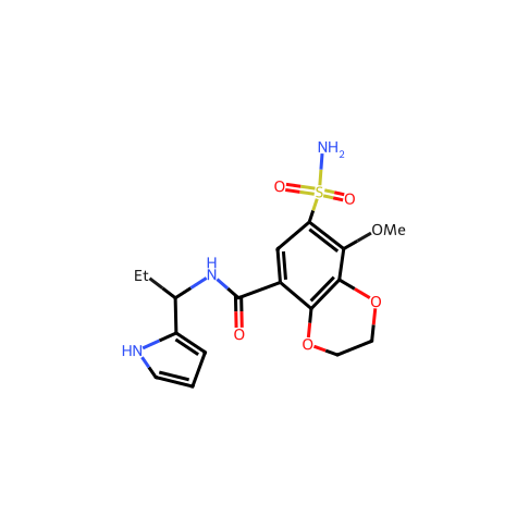 CCC(NC(=O)c1cc(S(N)(=O)=O)c(OC)c2c1OCCO2)c1ccc[nH]1